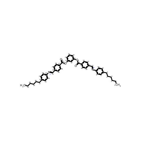 CCCCCCc1ccc(/N=C/c2ccc(C(=O)Oc3cccc(OC(=O)c4ccc(/C=N/c5ccc(CCCCCC)cc5)cc4)c3)cc2)cc1